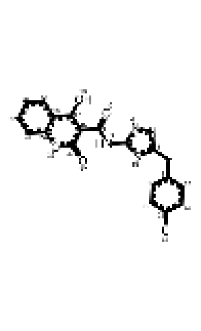 O=C(Nc1nnc(Cc2ccc(Cl)cc2)s1)c1c(O)c2ccccc2oc1=O